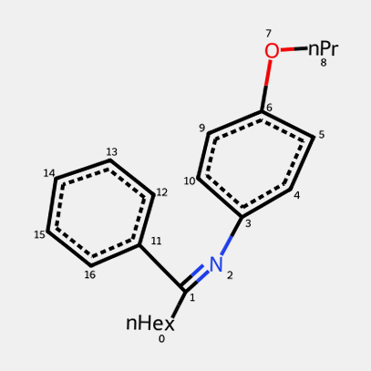 CCCCCCC(=Nc1ccc(OCCC)cc1)c1ccccc1